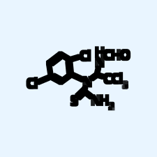 NC(=S)N(c1cc(Cl)ccc1Cl)C(NC=O)C(Cl)(Cl)Cl